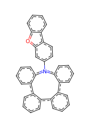 c1ccc2c(c1)oc1cc(-n3c4ccccc4c4ccccc4c4ccccc4c4ccccc43)ccc12